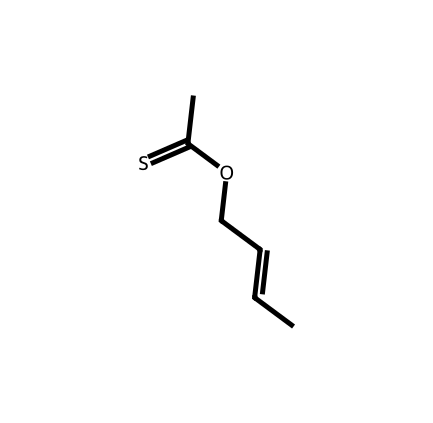 CC=CCOC(C)=S